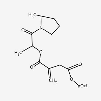 C=C(CC(=O)OCCCCCCCC)C(=O)OC(C)C(=O)N1CCCC1C